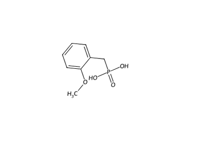 COc1ccccc1CP(=O)(O)O